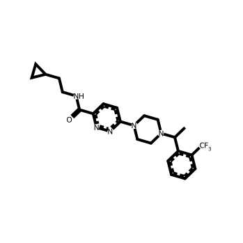 CC(c1ccccc1C(F)(F)F)N1CCN(c2ccc(C(=O)NCCC3CC3)nn2)CC1